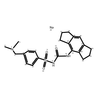 CN(C)Cc1ccc(S(=O)(=O)NC(=O)Nc2c3c(cc4c2CCC4)CCC3)cc1.[Na]